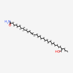 CCCC(CO)CCCCCCCCCCCCCCCCCCCCCCCCCCCCCC(N)=O